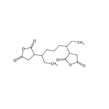 CCC(CCCC(CC)C1CC(=O)OC1=O)C1CC(=O)OC1=O